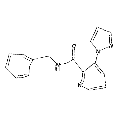 O=C(NCc1ccccc1)c1ncccc1-n1cccn1